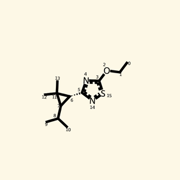 CCOc1nc([C@@H]2C(C(C)C)C2(C)C)ns1